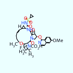 CC[C@@H]1O[C@H](C)CC/C=C\[C@@H]2C[C@@]2(C(=O)NS(=O)(=O)C2CC2)NC(=O)[C@@H]2C[C@@H](Oc3nccc4cc(OC)ccc34)CN2C(=O)[C@H]1N(C(=O)O)C(C)(C)C(F)(F)F